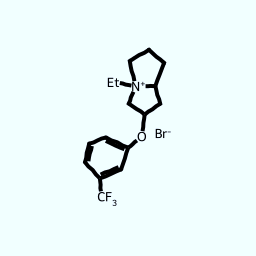 CC[N+]12CCCC1CC(Oc1cccc(C(F)(F)F)c1)C2.[Br-]